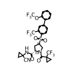 N#CC1(NC(=O)[C@@H]2C[C@@H](S(=O)(=O)c3ccc(-c4ccccc4OC(F)(F)F)cc3C(F)(F)F)CN2C(=O)C2(C(F)(F)F)CC2)CC1